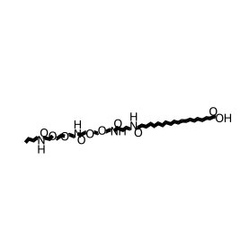 CCCCNC(=O)COCCOCCNC(=O)COCCOCCNC(=O)CCCNC(=O)CCCCCCCCCCCCCCCCCCC(=O)O